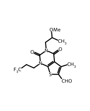 COC(C)Cn1c(=O)c2c(C)c(C=O)sc2n(CCC(F)(F)F)c1=O